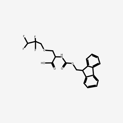 O=C(NC(COCC(F)(F)C(F)F)C(=O)O)OCC1c2ccccc2-c2ccccc21